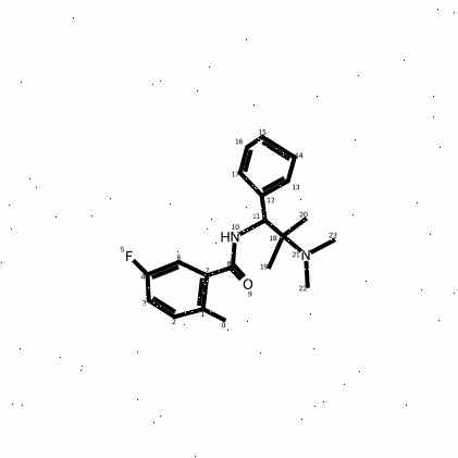 Cc1ccc(F)cc1C(=O)NC(c1ccccc1)C(C)(C)N(C)C